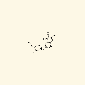 CCC[C@@H]1CCN(Cc2cnc3cc(CC)c(=O)[nH]c3c2)CC1C